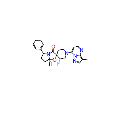 Cc1cnn2c(N3CCC4(O[C@@H]5CC[C@@H](c6ccccc6)N5C4=O)C(F)C3)ccnc12